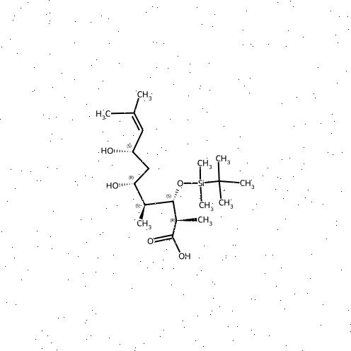 CC(C)=C[C@@H](O)C[C@@H](O)[C@H](C)[C@H](O[Si](C)(C)C(C)(C)C)[C@@H](C)C(=O)O